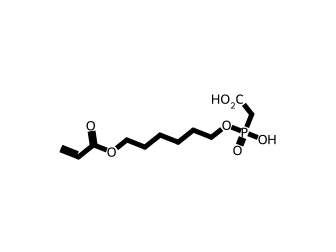 C=CC(=O)OCCCCCCOP(=O)(O)CC(=O)O